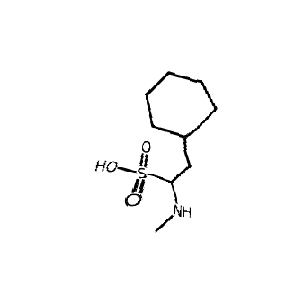 CNC(CC1CCCCC1)S(=O)(=O)O